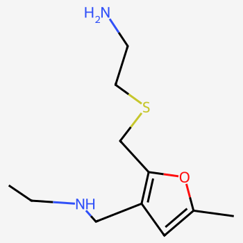 CCNCc1cc(C)oc1CSCCN